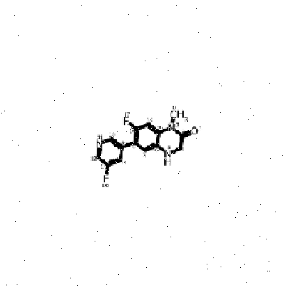 CN1C(=O)CNc2cc(-c3cncc(F)c3)c(F)cc21